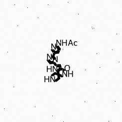 CC(=O)Nc1ccc(-c2nccc(-c3cc4c([nH]3)C3(CCNCC3)CNC4=O)n2)cn1